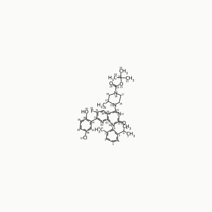 Cc1cccc(C(C)C)c1-n1c(=O)nc(N2CCN(C(=O)OC(C)(C)C)CC2C)c2cc(F)c(-c3cc(Cl)ccc3O)nc21